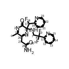 CC1=NC(=O)C(NCC(F)(F)c2ccccn2)(C(F)c2ccccn2)N=C1CC(N)=O